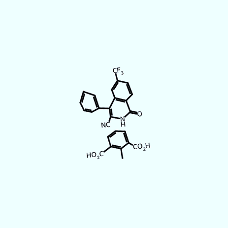 Cc1c(C(=O)O)cccc1C(=O)O.N#Cc1[nH]c(=O)c2ccc(C(F)(F)F)cc2c1-c1ccccc1